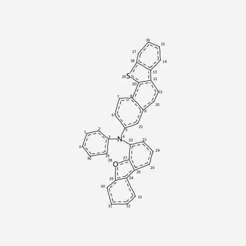 c1ccc(N(c2ccc3c(ccc4c5ccccc5sc34)c2)c2cccc3c2oc2ccccc23)cc1